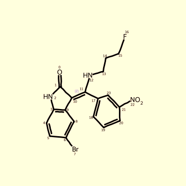 O=C1Nc2ccc(Br)cc2/C1=C(/NCCCF)c1cccc([N+](=O)[O-])c1